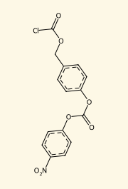 O=C(Cl)OCc1ccc(OC(=O)Oc2ccc([N+](=O)[O-])cc2)cc1